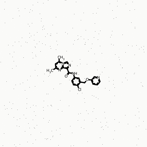 Cc1cc(C)n2cnc(C(=O)Nc3ccc(Cl)c(COc4cccnc4)c3)c2n1